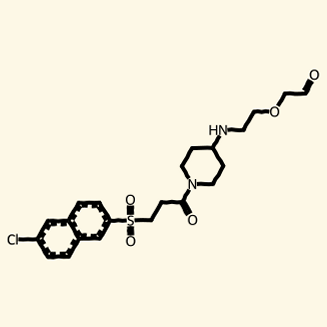 O=CCOCCNC1CCN(C(=O)CCS(=O)(=O)c2ccc3cc(Cl)ccc3c2)CC1